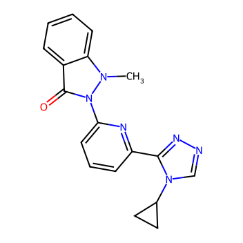 Cn1c2ccccc2c(=O)n1-c1cccc(-c2nncn2C2CC2)n1